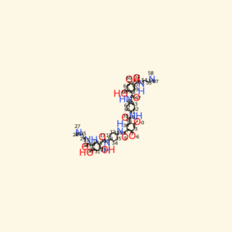 COc1cc(OC)c(C(=O)N[C@H]2CC[C@H](NC(=O)c3cc(C(=O)NCCN(C)C)c(O)cc3O)CC2)cc1C(=O)N[C@H]1CC[C@H](NC(=O)c2cc(C(=O)NCCN(C)C)c(O)cc2O)CC1